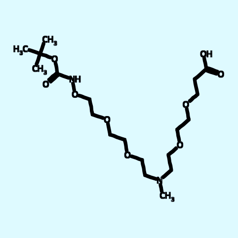 CN(CCOCCOCCONC(=O)OC(C)(C)C)CCOCCOCCC(=O)O